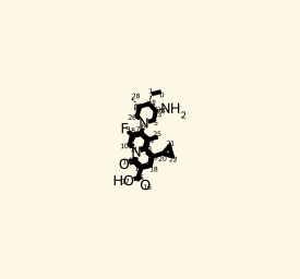 CC[C@@H]1[C@H](N)CN(c2c(F)cn3c(=O)c(C(=O)O)cc(C4CC4)c3c2C)C[C@@H]1C